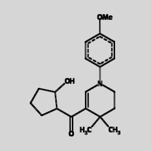 COc1ccc(N2C=C(C(=O)C3CCCC3O)C(C)(C)CC2)cc1